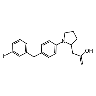 C=C(O)CC1CCCN1c1ccc(Cc2cccc(F)c2)cc1